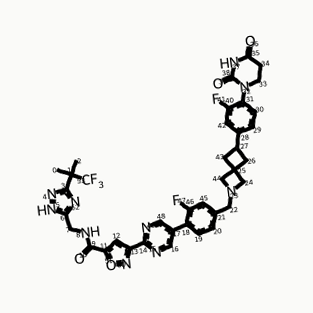 CC(C)(c1n[nH]c(CNC(=O)c2cc(-c3ncc(-c4ccc(CN5CC6(CC(c7ccc(N8CCC(=O)NC8=O)c(F)c7)C6)C5)cc4F)cn3)no2)n1)C(F)(F)F